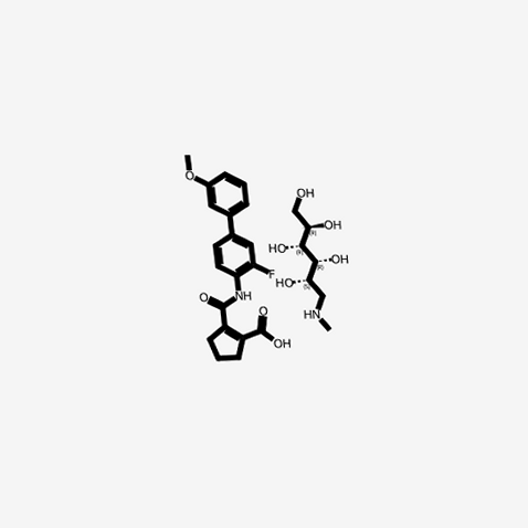 CNC[C@H](O)[C@@H](O)[C@H](O)[C@H](O)CO.COc1cccc(-c2ccc(NC(=O)C3=C(C(=O)O)CCC3)c(F)c2)c1